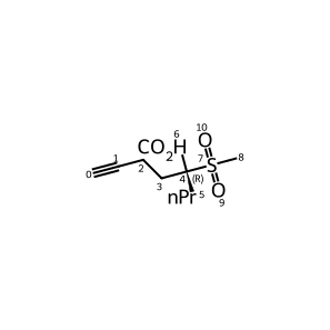 C#CCC[C@](CCC)(C(=O)O)S(C)(=O)=O